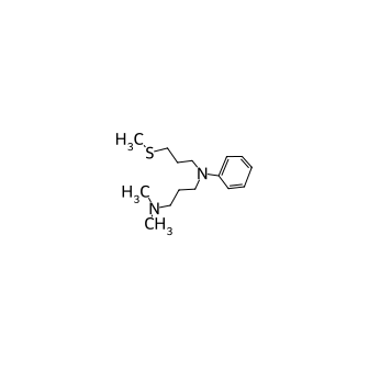 CSCCCN(CCCN(C)C)c1ccccc1